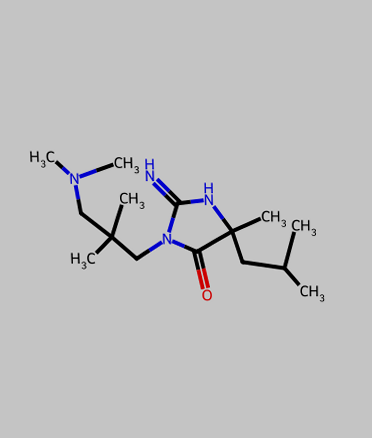 CC(C)CC1(C)NC(=N)N(CC(C)(C)CN(C)C)C1=O